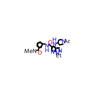 CCn1ncc2c(NC3CCN(C(C)=O)CC3)c(C(=O)NCc3cccc(C(=O)NC)c3)cnc21